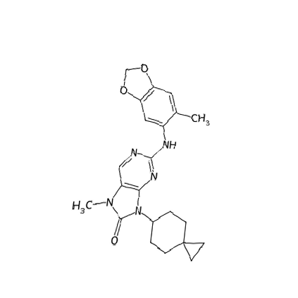 Cc1cc2c(cc1Nc1ncc3c(n1)n(C1CCC4(CC1)CC4)c(=O)n3C)OCO2